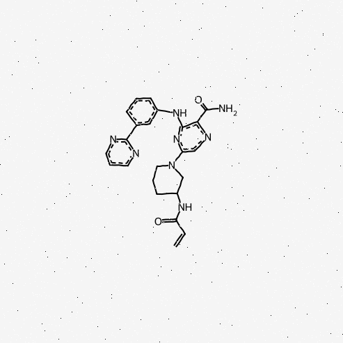 C=CC(=O)NC1CCCN(c2cnc(C(N)=O)c(Nc3cccc(-c4ncccn4)c3)n2)C1